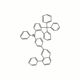 c1ccc(-c2cccc3ccc(-c4ccc(N(c5ccccc5)c5cccc6c5-c5ccccc5C6(c5ccccc5)c5ccccc5)cc4)cc23)cc1